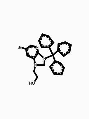 OCCN1CN(C(c2ccccc2)(c2ccccc2)c2ccccc2)c2ncc(Br)cc21